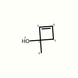 CC1(O)C=[C]C1